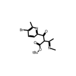 C/N=C(\C)C(C(=O)OC(C)(C)C)C(=O)c1ccc(Br)c(C)n1